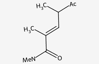 CNC(=O)/C(C)=C/C(C)C(C)=O